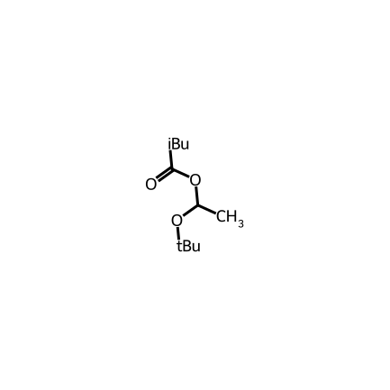 CCC(C)C(=O)OC(C)OC(C)(C)C